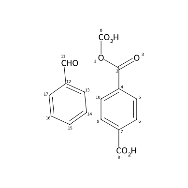 O=C(O)OC(=O)c1ccc(C(=O)O)cc1.O=Cc1ccccc1